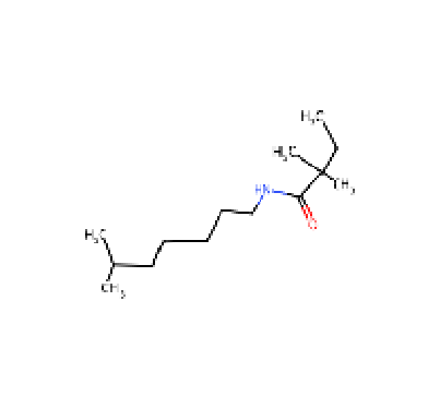 CCC(C)(C)C(=O)NCCCCCC(C)C